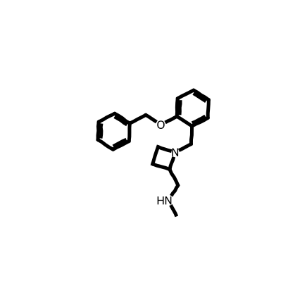 CNCC1CCN1Cc1ccccc1OCc1ccccc1